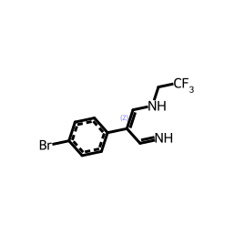 N=C/C(=C\NCC(F)(F)F)c1ccc(Br)cc1